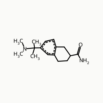 CN(C)C(C)(C)c1ccc2c(c1)CCC(C(N)=O)C2